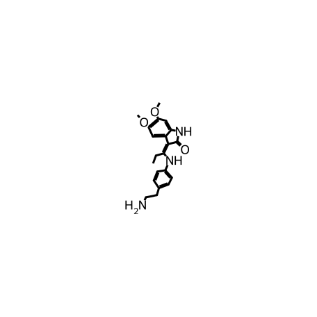 CC/C(Nc1ccc(CCN)cc1)=C1/C(=O)Nc2cc(OC)c(OC)cc21